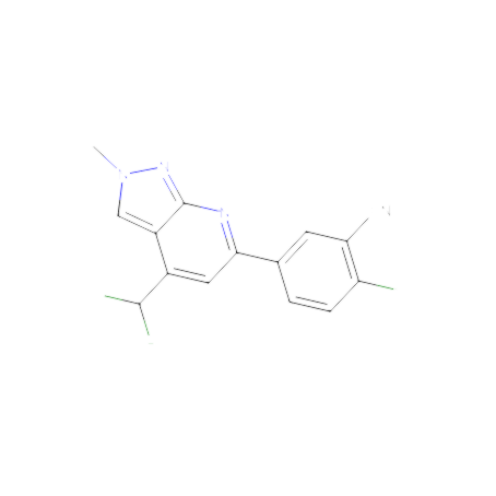 Cn1cc2c(C(F)F)cc(-c3ccc(F)c(C#N)c3)nc2n1